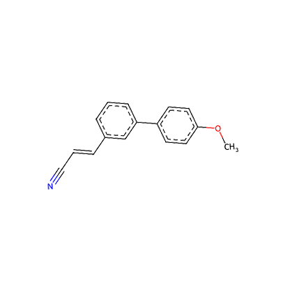 COc1ccc(-c2cccc(C=CC#N)c2)cc1